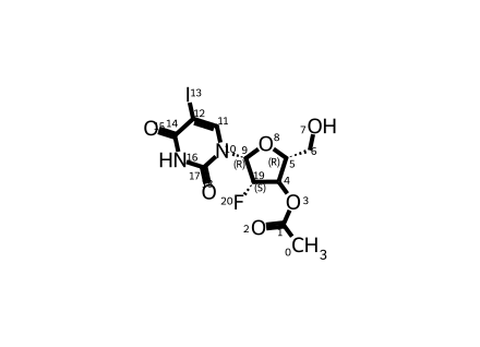 CC(=O)OC1[C@@H](CO)O[C@@H](n2cc(I)c(=O)[nH]c2=O)[C@H]1F